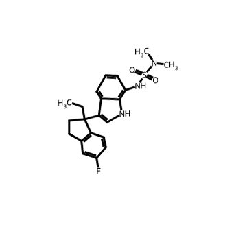 CCC1(c2c[nH]c3c(NS(=O)(=O)N(C)C)cccc23)CCc2cc(F)ccc21